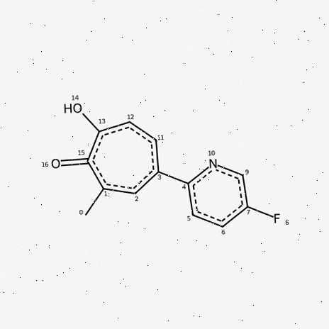 Cc1cc(-c2ccc(F)cn2)ccc(O)c1=O